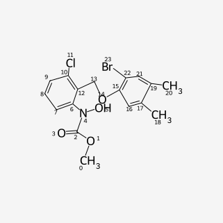 COC(=O)N(O)c1cccc(Cl)c1COc1cc(C)c(C)cc1Br